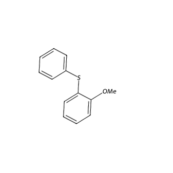 COc1ccccc1Sc1ccccc1